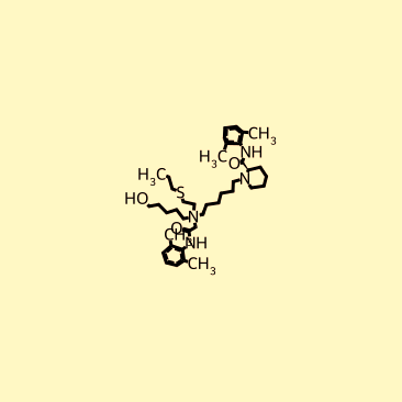 CCCSCC[N+](CCCCCO)(CCCCCCN1CCCC[C@@H]1C(=O)Nc1c(C)cccc1C)CC(=O)Nc1c(C)cccc1C